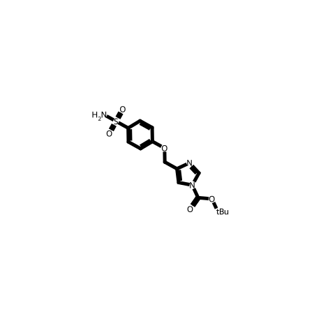 CC(C)(C)OC(=O)n1cnc(COc2ccc(S(N)(=O)=O)cc2)c1